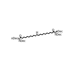 CCCCCCCCCCN(CCCCCCCCCC)C(=O)CCCCCCCCCNCCCCCCCCCC(=O)N(CCCCCCCCCC)CCCCCCCCCC